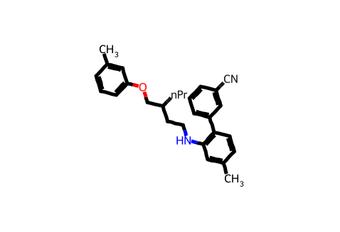 CCCC(CCNc1cc(C)ccc1-c1cccc(C#N)c1)COc1cccc(C)c1